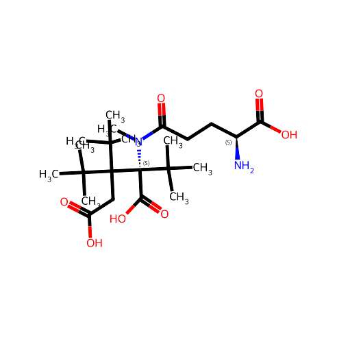 CN(C(=O)CC[C@H](N)C(=O)O)[C@@](C(=O)O)(C(C)(C)C)C(CC(=O)O)(C(C)(C)C)C(C)(C)C